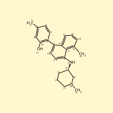 Cc1ccc(-c2nnc(N[C@@H]3CCCN(C)C3)c3c(C)cccc23)c(O)c1